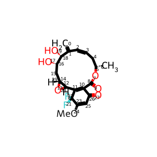 C=C1/C=C\C[C@H](C)OC(=O)C2=C([C@H]3O[C@@H]3C[C@H](O)[C@@H]1O)C(F)(F)C(OC)=CC2=O